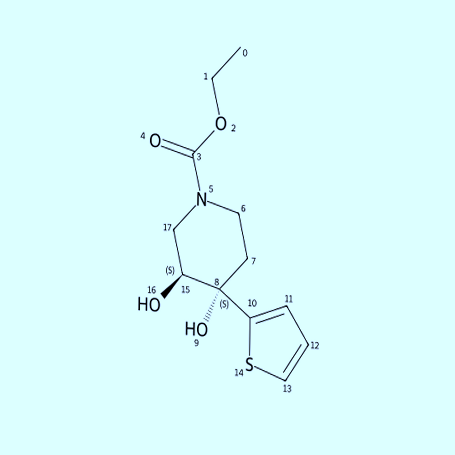 CCOC(=O)N1CC[C@@](O)(c2cccs2)[C@@H](O)C1